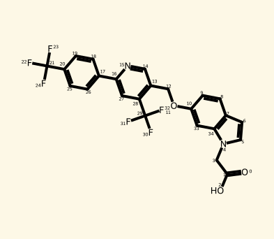 O=C(O)Cn1ccc2ccc(OCc3cnc(-c4ccc(C(F)(F)F)cc4)cc3C(F)(F)F)cc21